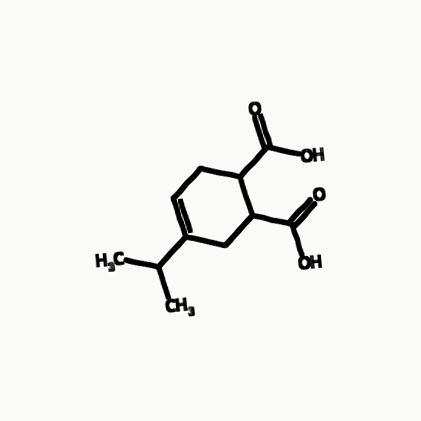 CC(C)C1=CCC(C(=O)O)C(C(=O)O)C1